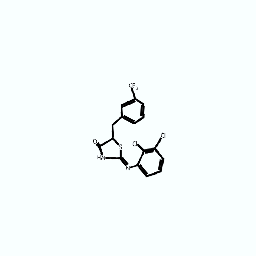 O=C1NC(=Nc2cccc(Cl)c2Cl)SC1Cc1cccc(C(F)(F)F)c1